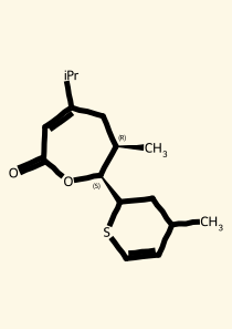 CC1C=CSC([C@H]2OC(=O)C=C(C(C)C)C[C@H]2C)C1